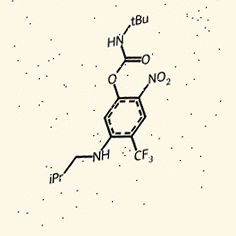 CC(C)CNc1cc(OC(=O)NC(C)(C)C)c([N+](=O)[O-])cc1C(F)(F)F